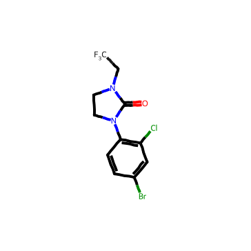 O=C1N(CC(F)(F)F)CCN1c1ccc(Br)cc1Cl